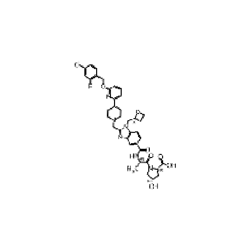 C[C@@H](NC(=O)c1ccc2c(c1)nc(CN1CCC(c3cccc(OCc4ccc(Cl)cc4F)n3)CC1)n2C[C@@H]1CCO1)C(=O)N1C[C@@H](O)C[C@@H]1C(=O)O